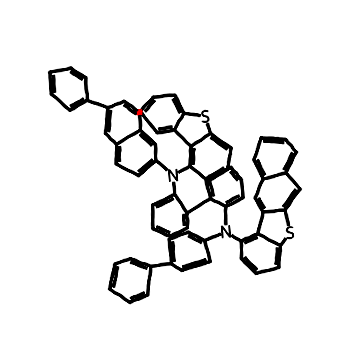 c1ccc(-c2ccc(N(c3ccccc3-c3ccccc3N(c3ccc4cc(-c5ccccc5)ccc4c3)c3cccc4sc5ccccc5c34)c3cccc4sc5cc6ccccc6cc5c34)cc2)cc1